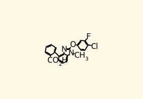 Cn1c(Oc2ccc(Cl)c(F)c2)nc2c(-c3ccccc3C(=O)O)cccc21